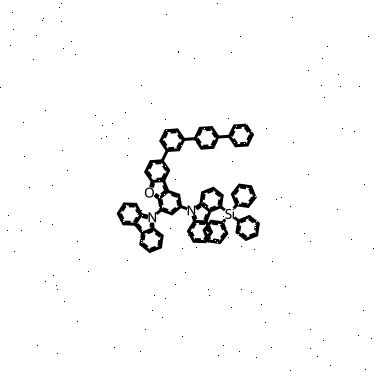 c1ccc(-c2ccc(-c3cccc(-c4ccc5oc6c(-n7c8ccccc8c8ccccc87)cc(-n7c8ccccc8c8c([Si](c9ccccc9)(c9ccccc9)c9ccccc9)cccc87)cc6c5c4)c3)cc2)cc1